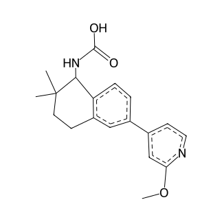 COc1cc(-c2ccc3c(c2)CCC(C)(C)C3NC(=O)O)ccn1